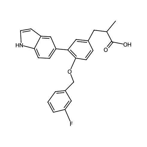 CC(Cc1ccc(OCc2cccc(F)c2)c(-c2ccc3[nH]ccc3c2)c1)C(=O)O